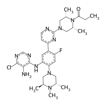 CCC(=O)N1[C@H](C)CN(c2nccc(-c3cc(Nc4ncnc(Cl)c4N)c(N4C[C@H](C)N(C)[C@@H](C)C4)cc3F)n2)C[C@@H]1C